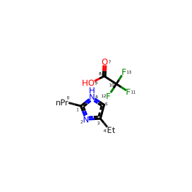 CCCc1nc(CC)c[nH]1.O=C(O)C(F)(F)F